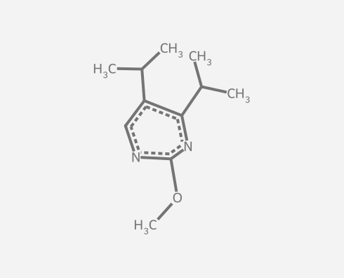 COc1ncc(C(C)C)c(C(C)C)n1